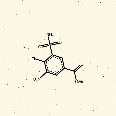 COC(=O)c1cc([N+](=O)[O-])c(Cl)c(S(N)(=O)=O)c1